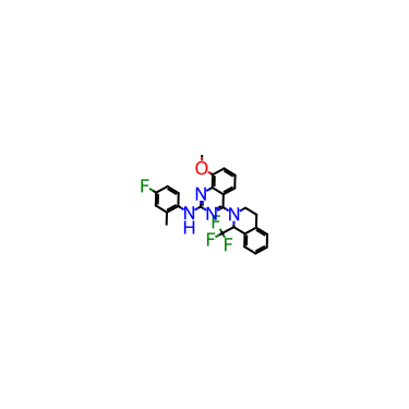 COc1cccc2c(N3CCc4ccccc4C3C(F)(F)F)nc(Nc3ccc(F)cc3C)nc12